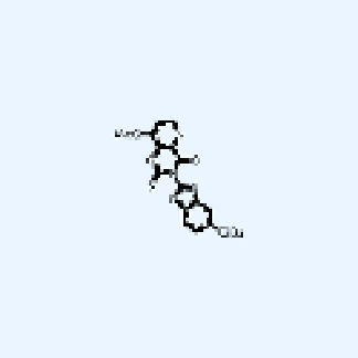 COc1ccnc2c(=O)n(-c3nc4ccc(OCC(C)C)cc4s3)c(=S)oc12